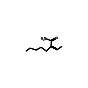 CC=C(CCCCC)C(N)=O